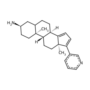 C[C@]12CC[C@H]3[C@@H](CCC4C[C@H](N)CC[C@@]43C)C1=CC=C2c1cccnc1